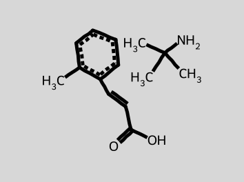 CC(C)(C)N.Cc1ccccc1C=CC(=O)O